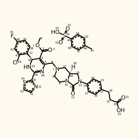 COC(=O)C1=C(CN2CCN3C(=O)N(c4ccc(CCC(=O)O)cc4)C[C@@H]3C2)N=C(c2nccs2)N[C@H]1c1ccc(F)cc1Cl.Cc1ccc(S(=O)(=O)O)cc1